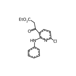 CCOC(=O)CC(=O)c1ccc(Cl)nc1Nc1ccccc1